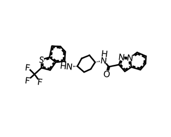 O=C(N[C@H]1CC[C@@H](Nc2cccc3sc(C(F)(F)F)cc23)CC1)c1cc2ccccn2n1